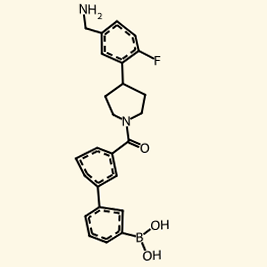 NCc1ccc(F)c(C2CCN(C(=O)c3cccc(-c4cccc(B(O)O)c4)c3)CC2)c1